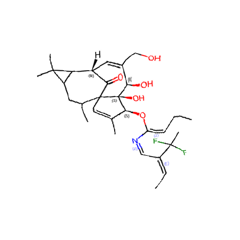 C\C=C(/C=N\C(=C\CC)O[C@H]1C(C)=CC23C(=O)[C@@H](C=C(CO)[C@@H](O)[C@]12O)C1C(CC3C)C1(C)C)C(C)(F)F